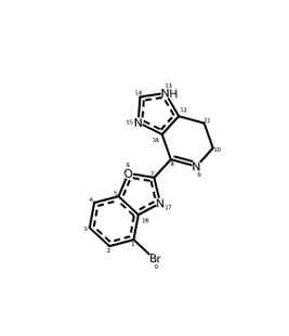 Brc1cccc2oc(C3=NCCc4[nH]cnc43)nc12